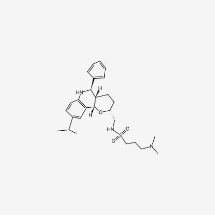 CC(C)c1ccc2c(c1)[C@H]1O[C@@H](CNS(=O)(=O)CCCN(C)C)CC[C@H]1[C@H](c1ccccc1)N2